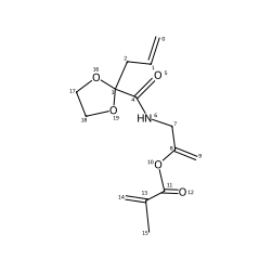 C=CCC1(C(=O)NCC(=C)OC(=O)C(=C)C)OCCO1